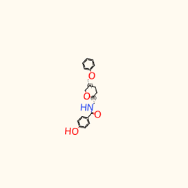 O=C(NC[C@H]1CC[C@@H](COc2ccccc2)CO1)c1ccc(O)cc1